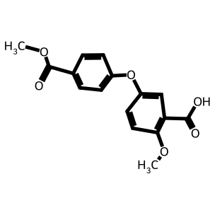 COC(=O)c1ccc(Oc2ccc(OC)c(C(=O)O)c2)cc1